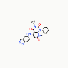 Cn1ncc2cc(Nc3cc(=O)n(C)c4c3c(=O)n(C3CC3)c(=O)n4-c3ccccc3)ccc21